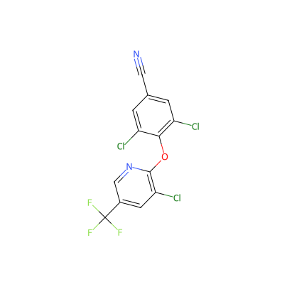 N#Cc1cc(Cl)c(Oc2ncc(C(F)(F)F)cc2Cl)c(Cl)c1